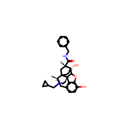 O=C(NCc1ccccc1)[C@H]1CC23CC[C@]1(O)C1Oc4c(O)ccc5c4[C@@]12CCN(CC1CC1)[C@@H]3C5